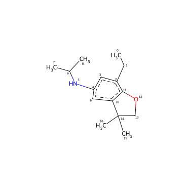 CCc1cc(NC(C)C)cc2c1OCC2(C)C